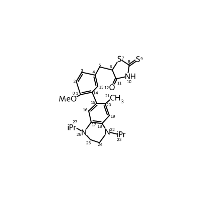 COc1ccc(CC2SC(=S)NC2=O)cc1-c1cc2c(cc1C)N(C(C)C)CCN2C(C)C